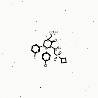 CC[C@@H](CS(=O)(=O)C1CCC1)N1C(=O)[C@](C)(CC(=O)O)C[C@H](c2cccc(Cl)c2)[C@H]1c1ccc(Cl)cc1